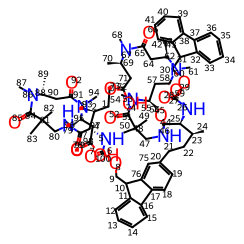 CC[C@H](C)[C@H](NC(=O)OCC1c2ccccc2-c2ccc(CC[C@H](C)[C@H](NC(=O)OCC3c4ccccc4-c4ccccc43)C(=O)NCC(C)(C)C(=O)N(C)[C@H](C)CC(=O)N(C)[C@H](C)CC(=O)N(C)[C@H](C)CC(=O)O)cc21)C(=O)NCC(C)(C)C(=O)N(C)[C@H](C)CC(=O)N(C)[C@H](C)CC(=O)O